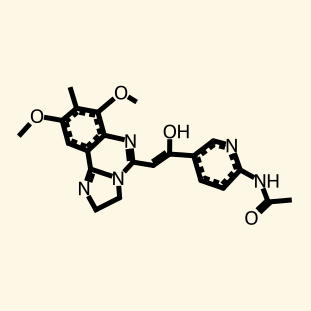 COc1cc2c(c(OC)c1C)N=C(C=C(O)c1ccc(NC(C)=O)nc1)N1CCN=C21